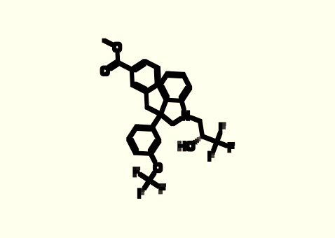 COC(=O)c1cccc(CC2(c3cccc(OC(F)(F)F)c3)CN(C[C@@H](O)C(F)(F)F)c3ccccc32)c1